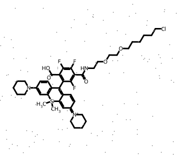 C[Si]1(C)C2=CC(=[N+]3CCCCC3)C=CC2=C(c2c(F)c(C(=O)NCCOCCOCCCCCCCl)c(F)c(F)c2C(=O)O)c2ccc(N3CCCCC3)cc21